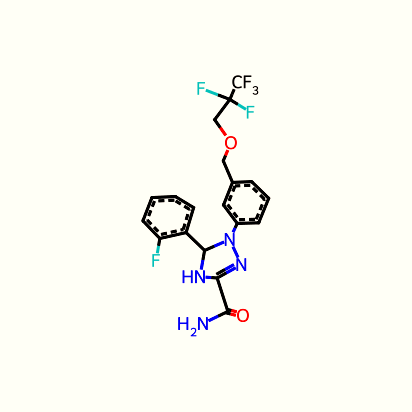 NC(=O)C1=NN(c2cccc(COCC(F)(F)C(F)(F)F)c2)C(c2ccccc2F)N1